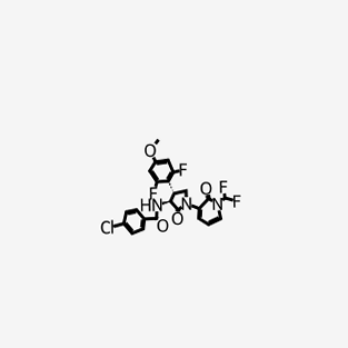 COc1cc(F)c([C@@H]2CN(c3cccn(C(F)F)c3=O)C(=O)[C@H]2NC(=O)c2ccc(Cl)cc2)c(F)c1